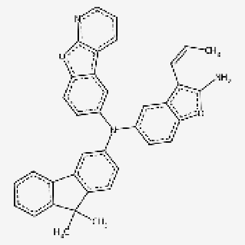 C/C=C\c1c(N)oc2ccc(N(c3ccc4c(c3)-c3ccccc3C4(C)C)c3ccc4oc5ncccc5c4c3)cc12